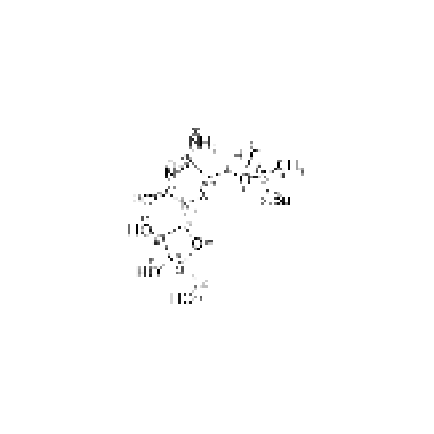 CC(C)(C)[Si](C)(C)OCc1cn([C@@H]2O[C@H](CO)[C@H](O)C2O)c(=O)nc1N